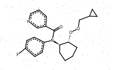 O=C(c1cccnc1)N(c1ccc(F)cc1)[C@@H]1CCCC[C@H]1OOCC1CC1